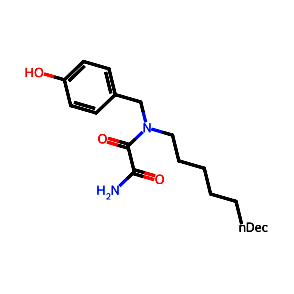 CCCCCCCCCCCCCCCN(Cc1ccc(O)cc1)C(=O)C(N)=O